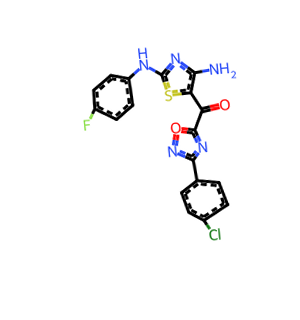 Nc1nc(Nc2ccc(F)cc2)sc1C(=O)c1nc(-c2ccc(Cl)cc2)no1